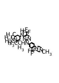 CN1CCN(c2ccc(Nc3ncc(C(F)(F)F)c(NC4CC(C)(C)N(C)C(C)(C)C4)n3)cc2C(F)(F)F)CC1